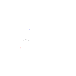 CCC[C@H]1CC=N[C@H](C(=O)O)CS1